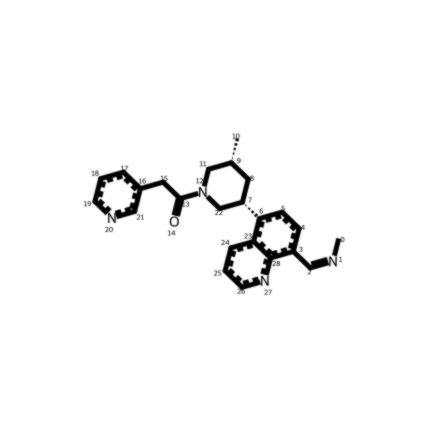 C/N=C\c1ccc([C@H]2C[C@@H](C)CN(C(=O)Cc3cccnc3)C2)c2cccnc12